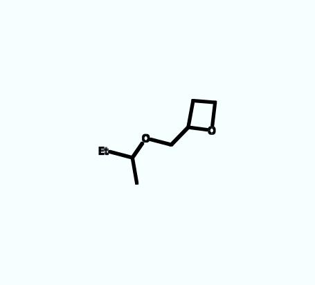 [CH2]CC(C)OCC1CCO1